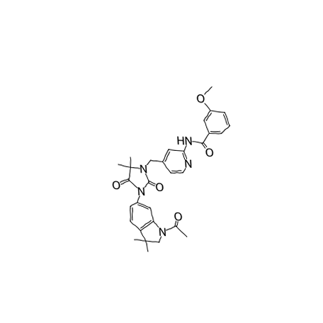 COc1cccc(C(=O)Nc2cc(CN3C(=O)N(c4ccc5c(c4)N(C(C)=O)CC5(C)C)C(=O)C3(C)C)ccn2)c1